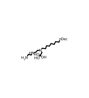 CCCCCCCCCCCCCCCCCCN(CCNCCN)CC(O)(O)O